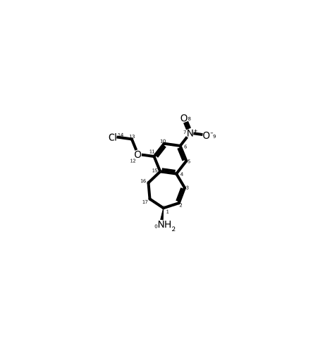 N[C@@H]1C=Cc2cc([N+](=O)[O-])cc(OCCl)c2CC1